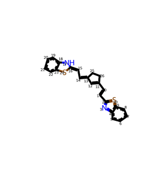 C(=Cc1nc2ccccc2s1)C1=CC(=CC=C2Nc3ccccc3S2)CC1